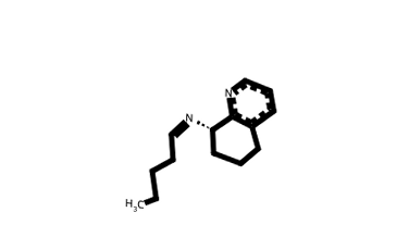 CCCC/C=N\[C@H]1CCCc2cccnc21